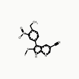 CCc1ccc(-c2c(SI)[nH]c3ncc(C#N)cc23)cc1[N+](=O)[O-]